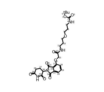 CC(C)(C)OC(=O)NCCCOCCCNC(=O)COc1cccc2c1C(=O)N(C1CCC(=O)NC1=O)C2=O